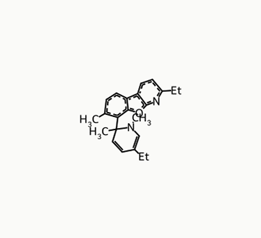 CCC1=CN(C)C(C)(c2c(C)ccc3c2oc2nc(CC)ccc23)C=C1